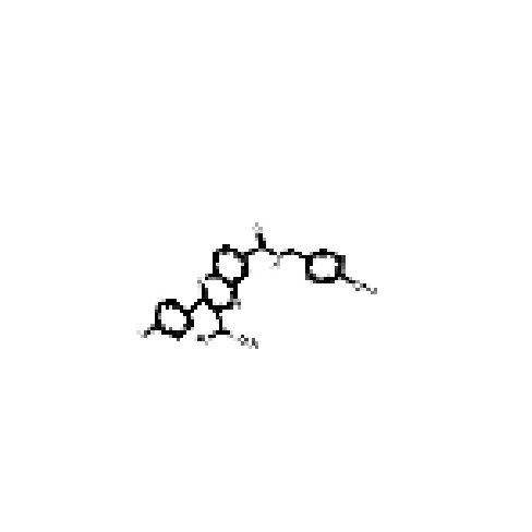 CCC(C)C(C(=O)O)c1nc2cc(C(=O)NCc3ccc(OC)cc3)ccc2nc1-c1ccc(Cl)cc1